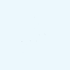 Cc1ccnc2cc(S(=O)(=O)Cl)ccc12